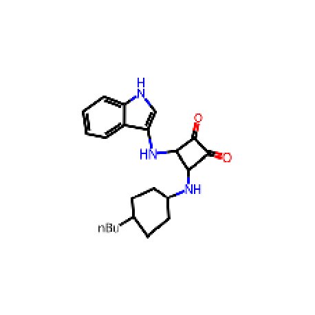 CCCCC1CCC(NC2C(=O)C(=O)C2Nc2c[nH]c3ccccc23)CC1